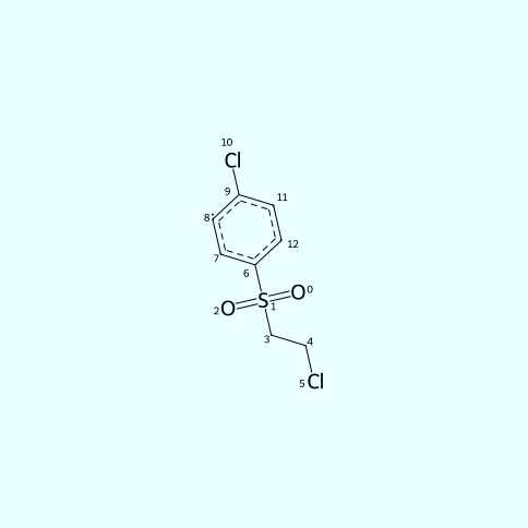 O=S(=O)(CCCl)c1c[c]c(Cl)cc1